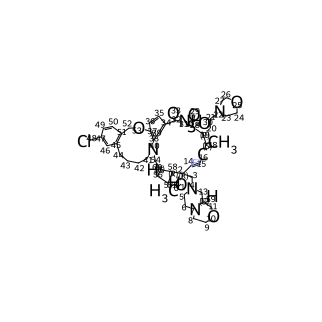 CO[C@@]1(CN2CCN3CCOC[C@@H]3C2)/C=C/C[C@H](C)[C@@H](CCN2CCOCC2)S(=O)(=O)NC(=O)c2ccc3c(c2)N(CCCCc2cc(Cl)ccc2CO3)C[C@@H]2CC[C@H]21